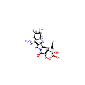 CC#C[C@@]1(O)C(=O)OCc2c1cc1n(c2=O)Cc2c-1nc1cc(F)c(C)cc1c2CN